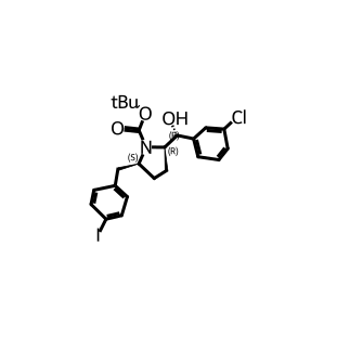 CC(C)(C)OC(=O)N1[C@H](Cc2ccc(I)cc2)CC[C@@H]1[C@H](O)c1cccc(Cl)c1